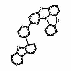 O=P12c3ccccc3Oc3cccc(c31)Oc1ccc(-c3cccc(-c4cccc5c4oc4ccccc45)c3)cc12